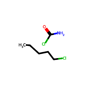 CCCCCCl.NC(=O)Cl